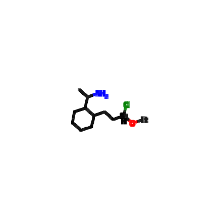 CC[O][SnH]([Cl])[CH2]CC1CCCCC1C(C)N